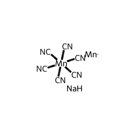 N#[C][Mn]([C]#N)([C]#N)([C]#N)([C]#N)[C]#N.[Mn].[NaH]